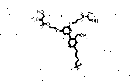 C=C(CO)C(=O)OCCOc1cc(OCCOC(=O)C(=C)CO)cc(-c2ccc(CCCCC(F)(F)F)cc2CC)c1